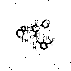 Cc1c(C(C)NC(=O)c2cn(C3CCOCC3)c(=O)cc2NC2CCC23CCCN(C)C3)cccc1C(F)(F)F